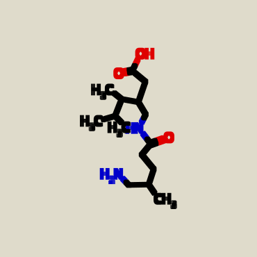 CC(CN)CCC(=O)NCC(CC(=O)O)C(C)C(C)C